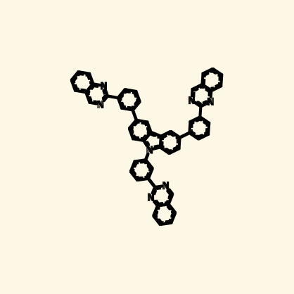 c1cc(-c2ccc3c(c2)c2cc(-c4cccc(-c5ncc6ccccc6n5)c4)ccc2n3-c2cccc(-c3ncc4ccccc4n3)c2)cc(-c2ncc3ccccc3n2)c1